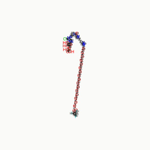 O=C(CCOCCOCCOCCOCCOCCOCCOCCOCCOCCOCCOCCOCCOCCOCCOCCOCCn1cc(CCCCn2ccc(C(=O)N3CCCC4(C3)CN(c3nc(Cl)nc5c3cnn5[C@@H]3O[C@H](COCP(=O)(O)O)[C@@H](O)[C@H]3O)C4)n2)nn1)Oc1c(F)cc(F)cc1F